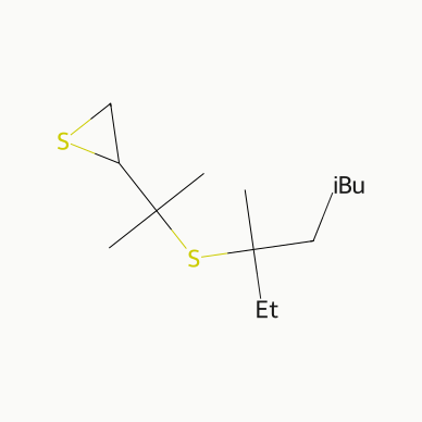 CCC(C)CC(C)(CC)SC(C)(C)C1CS1